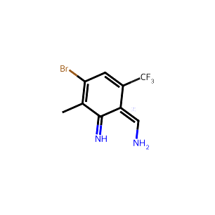 CC1=C(Br)C=C(C(F)(F)F)/C(=C/N)C1=N